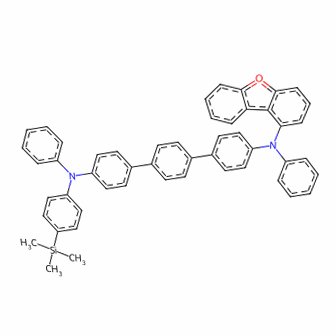 C[Si](C)(C)c1ccc(N(c2ccccc2)c2ccc(-c3ccc(-c4ccc(N(c5ccccc5)c5cccc6oc7ccccc7c56)cc4)cc3)cc2)cc1